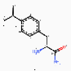 CC(C)c1ccc(C[C@H](N)C(N)=O)cc1